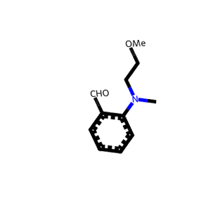 COCCN(C)c1ccccc1C=O